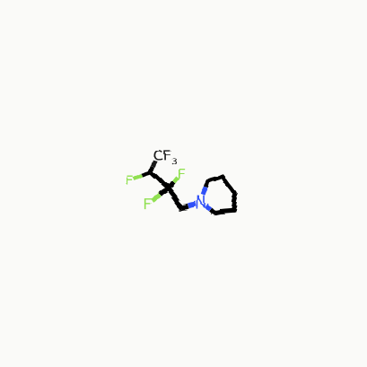 FC(C(F)(F)F)C(F)(F)CN1CCCCC1